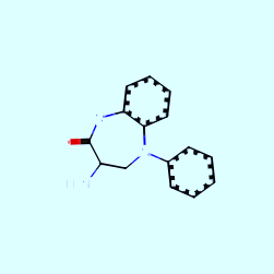 NC1CN(c2ccccc2)c2ccccc2NC1=O